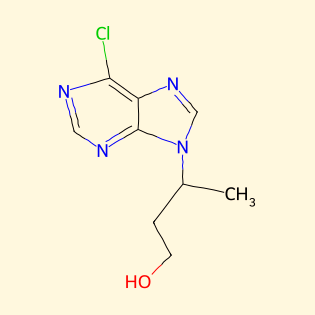 CC(CCO)n1cnc2c(Cl)ncnc21